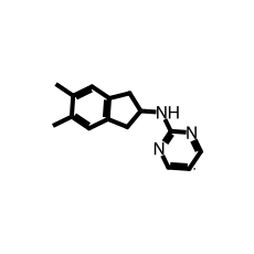 Cc1cc2c(cc1C)CC(Nc1nc[c]cn1)C2